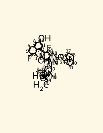 C#Cc1c(F)ccc2cc(O)cc(-c3ncc4c(N5C[C@@H]6C[C@@H](O)[C@H](C5)N6C(=O)C=C)nc(OCC56CCCN5CCC6)nc4c3F)c12